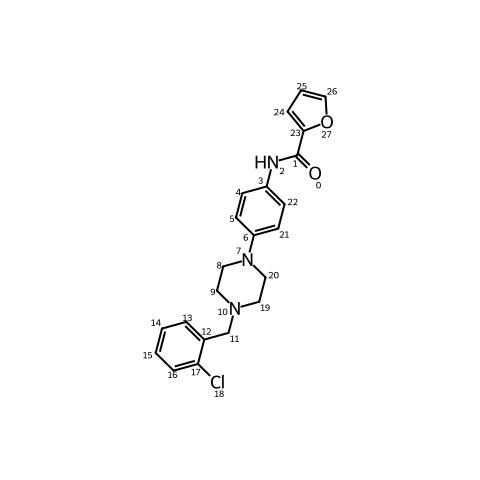 O=C(Nc1ccc(N2CCN(Cc3ccccc3Cl)CC2)cc1)c1ccco1